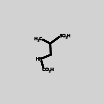 CC(CNC(=O)O)S(=O)(=O)O